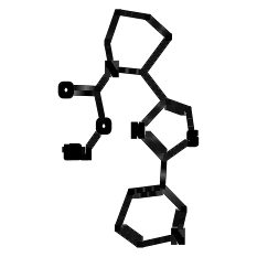 CC(C)(C)OC(=O)N1CCCCC1c1csc(-c2cccnc2)n1